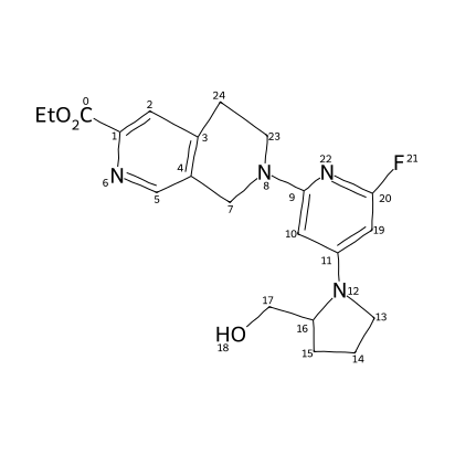 CCOC(=O)c1cc2c(cn1)CN(c1cc(N3CCCC3CO)cc(F)n1)CC2